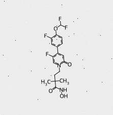 CC(C)(CCn1cc(F)c(-c2ccc(OC(F)F)c(F)c2)cc1=O)C(=O)NO